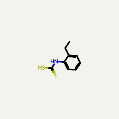 CCc1ccccc1NC(=S)S